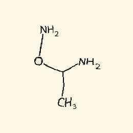 CC(N)ON